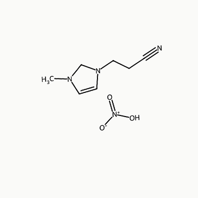 CN1C=CN(CCC#N)C1.O=[N+]([O-])O